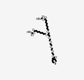 CCCCC(CC)OC(=O)CCCCCCCOCC(COCCOCCOCCOCCOC(=O)C1(C)CCN(C)CC1)OCCCCCCCC(=O)OC(CC)CCCC